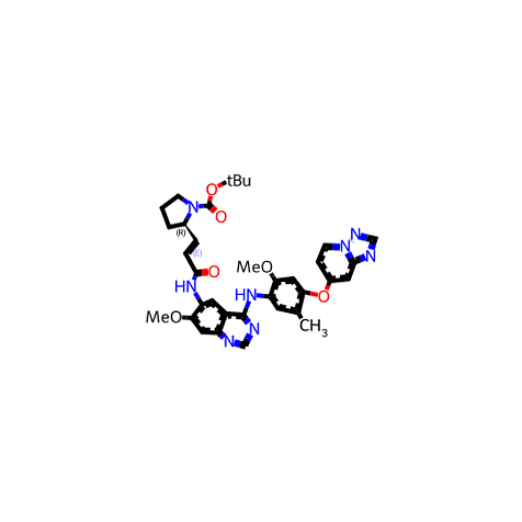 COc1cc2ncnc(Nc3cc(C)c(Oc4ccn5ncnc5c4)cc3OC)c2cc1NC(=O)/C=C/[C@H]1CCCN1C(=O)OC(C)(C)C